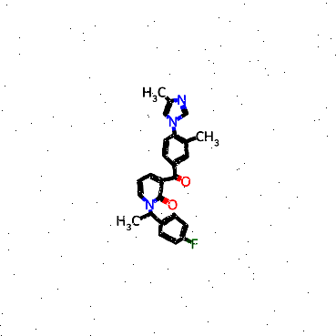 Cc1cn(-c2ccc(C(=O)c3cccn(C(C)c4ccc(F)cc4)c3=O)cc2C)cn1